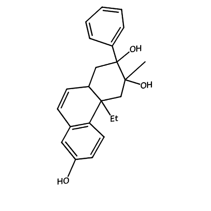 CCC12CC(C)(O)C(O)(c3ccccc3)CC1C=Cc1cc(O)ccc12